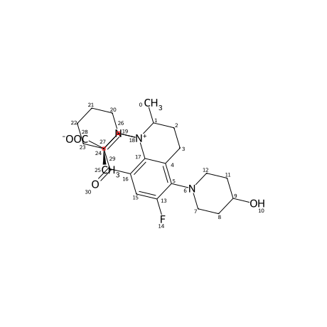 CC1CCc2c(N3CCC(O)CC3)c(F)cc3c2[N+]1(N1CCCC[C@@H]1C)C=C(C(=O)[O-])C3=O